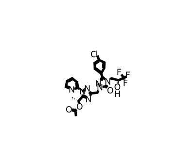 CC(=O)O[C@H](C)c1nc(Cn2nc(-c3ccc(Cl)cc3)n(C[C@H](O)C(F)(F)F)c2=O)nn1-c1ccccn1